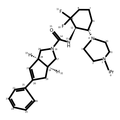 CC(C)N1CCN([C@H]2CCCC(F)(F)[C@@H]2NC(=O)N2C[C@H]3CC(c4ccccc4)=C[C@H]3C2)CC1